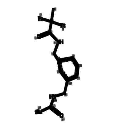 CCC(C)(CC)C(=O)NCc1cccc(CNC(=O)C(C)(C)C)c1